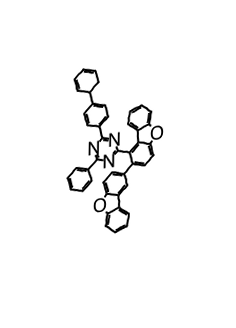 C1=CCC(c2ccc(-c3nc(-c4ccccc4)nc(-c4c(-c5ccc6oc7ccccc7c6c5)ccc5oc6ccccc6c45)n3)cc2)C=C1